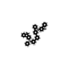 CC1(C)c2ccccc2-c2cc(N(c3ccccc3)c3cccc(-c4cccc(-c5ccc6c7ccccc7n(-c7ccc8sc9ccccc9c8c7)c6c5)c4)c3)ccc21